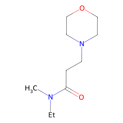 CCN(C)C(=O)CCN1CCOCC1